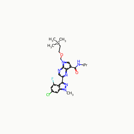 CC(C)NC(=O)c1cn(COCC[Si](C)(C)C)c2ncc(-c3nn(C)c4cc(Cl)cc(F)c34)nc12